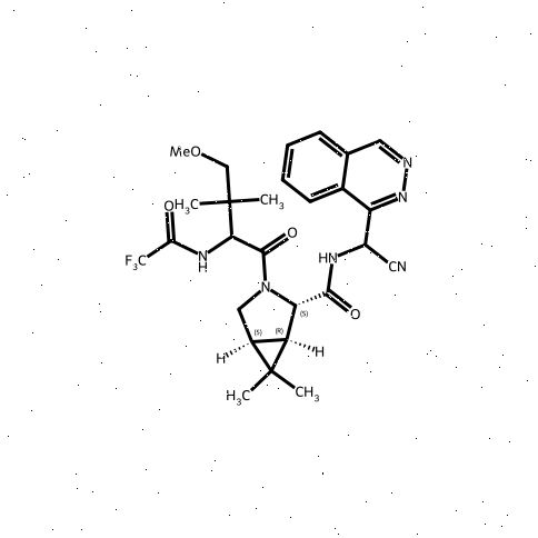 COCC(C)(C)C(NC(=O)C(F)(F)F)C(=O)N1C[C@H]2[C@@H]([C@H]1C(=O)NC(C#N)c1nncc3ccccc13)C2(C)C